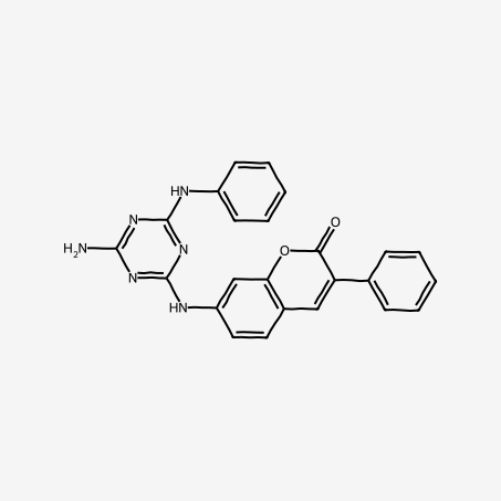 Nc1nc(Nc2ccccc2)nc(Nc2ccc3cc(-c4ccccc4)c(=O)oc3c2)n1